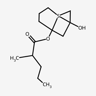 CCCC(C)C(=O)OC12CCCS13CC3(O)C2